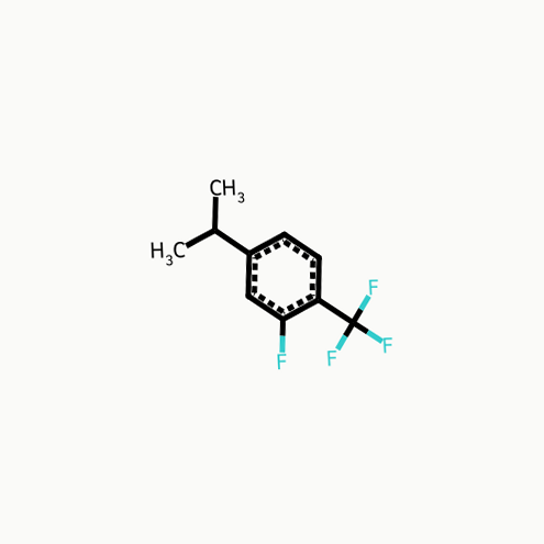 CC(C)c1ccc(C(F)(F)F)c(F)c1